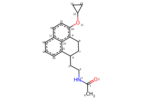 CC(=O)NCCC1CCc2c(OC3CC3)ccc3cccc1c23